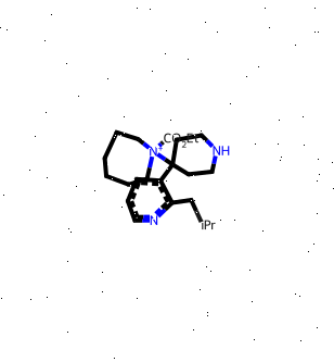 CCOC(=O)[N+]1(C2(c3cccnc3CC(C)C)CCNCC2)CCCCCC1